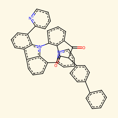 O=C1c2cccc(-n3c4c(-c5ccccn5)cccc4c4cccc(-c5ccccn5)c43)c2C(=O)C1c1ccc(-c2ccccc2)cc1